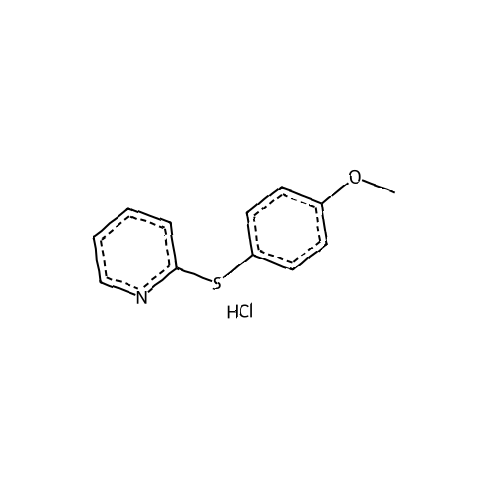 COc1ccc(Sc2ccccn2)cc1.Cl